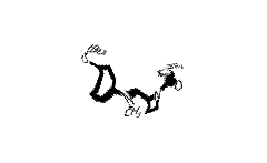 CN(CC1CCN1C(=O)OC(C)(C)C)c1ccc(OC(C)(C)C)cc1